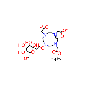 O=C([O-])CN1CCN(CC(=O)[O-])CCN(OCC[C@@]2(O)O[C@H](CO)[C@H](O)[C@H](O)[C@H]2O)CCN(CC(=O)[O-])CC1.[Gd+3]